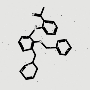 CC(=O)c1ccccc1Pc1cccc(CC2C=CC=CC2)c1OCc1ccccc1